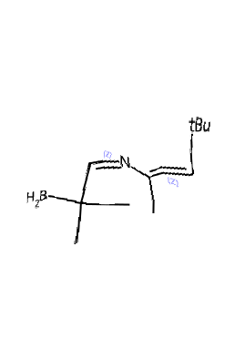 BC(C)(C)/C=N\C(C)=C/C(C)(C)C